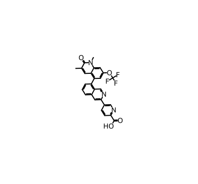 Cc1cc2c(-c3cccc4cc(-c5ccc(C(=O)O)nc5)ncc34)cc(OC(F)(F)F)cc2n(C)c1=O